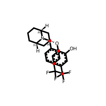 Oc1cc(C(F)(F)F)ccc1O[C@H]1C[C@H]2CCC[C@@H](C1)N2Oc1ccc(C(F)(F)F)cn1